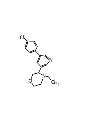 [CH2]CN1CCOCC1c1cncc(-c2ccc(Cl)cc2)c1